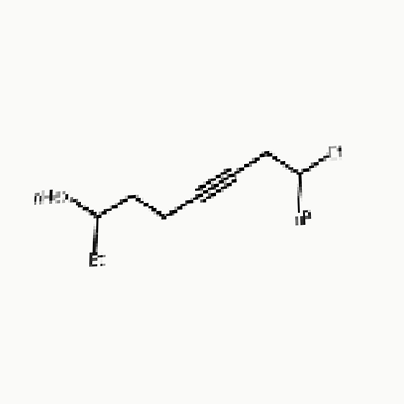 [CH2]CCCCCC(CC)CCC#CCC(CC)CC[CH2]